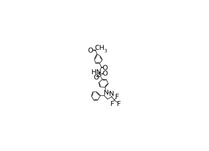 CC(=O)c1ccc(C(=O)NS(=O)(=O)c2ccc(N3N=C(C(F)(F)F)CC3c3ccccc3)cc2)cc1